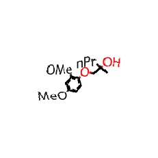 CCCC(C)(O)COc1ccc(OC)cc1OC